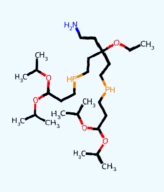 CCOC(CCN)(CCPCCC(OC(C)C)OC(C)C)CCPCCC(OC(C)C)OC(C)C